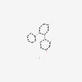 COc1ccc(-c2cc(F)ccc2-c2ccccc2)c(F)c1